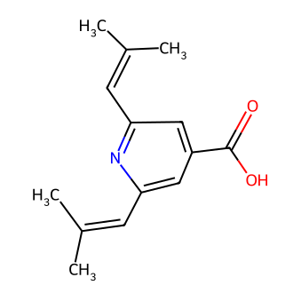 CC(C)=Cc1cc(C(=O)O)cc(C=C(C)C)n1